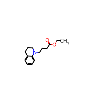 CCOC(=O)CCCN1CCCc2ccccc21